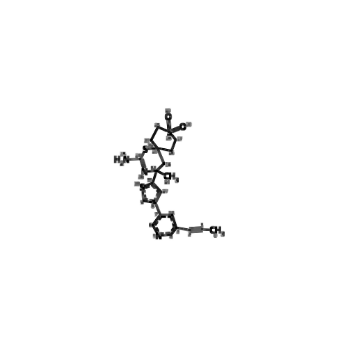 CC#Cc1cncc(-c2csc(C3(C)CC4(CCS(=O)(=O)CC4)SC(N)=N3)c2)c1